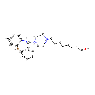 O=CCCCCCCCN1CCN(C2=Nc3ccccc3Sc3ccccc32)CC1